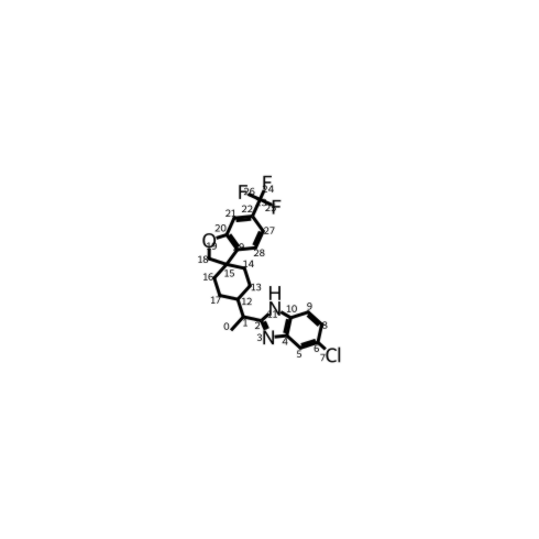 CC(c1nc2cc(Cl)ccc2[nH]1)C1CCC2(CC1)COc1cc(C(F)(F)F)ccc12